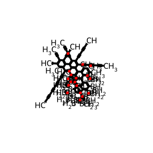 BBB(B)B(B(B)B)c1c(B(B(B)B)B(B)B)c(B(BB)B(B)B)c(B(B)B(B)B)c2c(-c3c4c(C)c(C)c(C)c(C)c4c(-c4c(C#CC#CC#CC)c(C#CC#CC#C)c(C#CC#CC)c5c4c(C#CC#CC#CC#CC)c(C#CC#CC#CC#CC#C)c4c(C)c(C#C)c(C#CC)c(C#CC#C)c45)c4c(C)c(C)c(C)c(C)c34)c(B(B)B)c(BB)c(B)c12